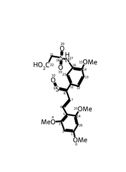 COc1cc(OC)c(C=CC(=S=O)c2ccc(OC)c(NS(=O)(=O)CC(=O)O)c2)c(OC)c1